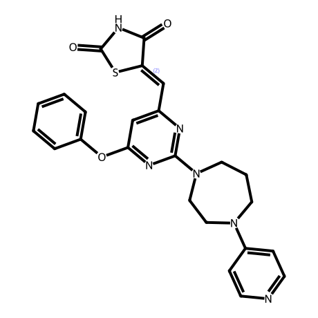 O=C1NC(=O)/C(=C/c2cc(Oc3ccccc3)nc(N3CCCN(c4ccncc4)CC3)n2)S1